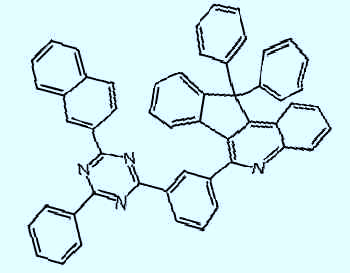 c1ccc(-c2nc(-c3cccc(-c4nc5ccccc5c5c4-c4ccccc4C5(c4ccccc4)c4ccccc4)c3)nc(-c3ccc4ccccc4c3)n2)cc1